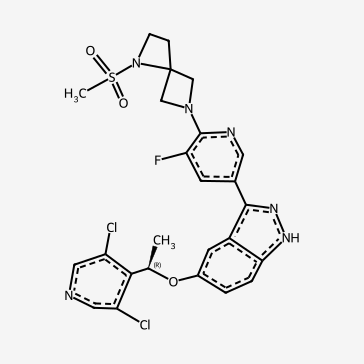 C[C@@H](Oc1ccc2[nH]nc(-c3cnc(N4CC5(CCN5S(C)(=O)=O)C4)c(F)c3)c2c1)c1c(Cl)cncc1Cl